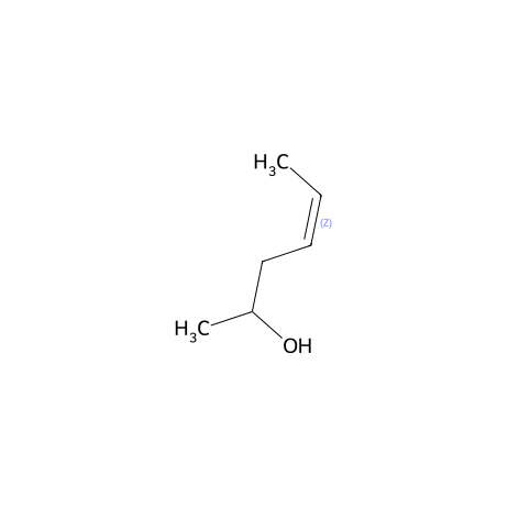 C/C=C\CC(C)O